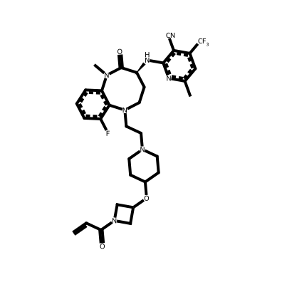 C=CC(=O)N1CC(OC2CCN(CCN3CC[C@H](Nc4nc(C)cc(C(F)(F)F)c4C#N)C(=O)N(C)c4cccc(F)c43)CC2)C1